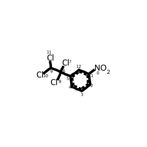 O=[N+]([O-])c1cccc(C(Cl)(Cl)C(Cl)Cl)c1